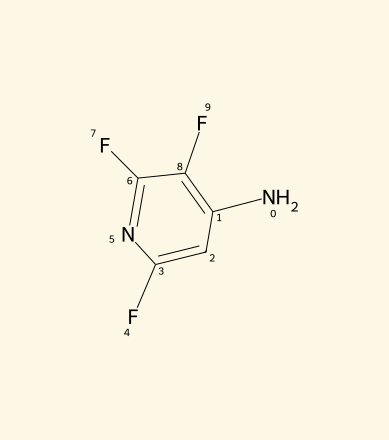 Nc1cc(F)nc(F)c1F